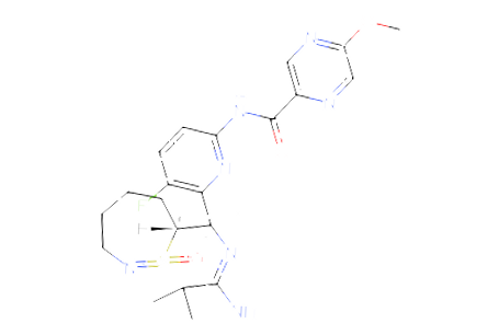 COc1cnc(C(=O)Nc2ccc(F)c([C@@]3(C)N=C(N)C(C)(C)[S@]4(=O)=NCCCC[C@H]34)n2)cn1